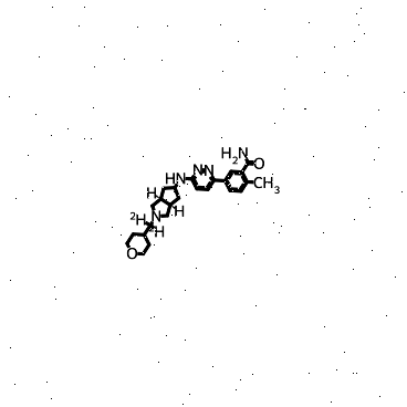 [2H]C([2H])(C1CCOCC1)N1C[C@H]2CC(Nc3ccc(-c4ccc(C)c(C(N)=O)c4)nn3)C[C@H]2C1